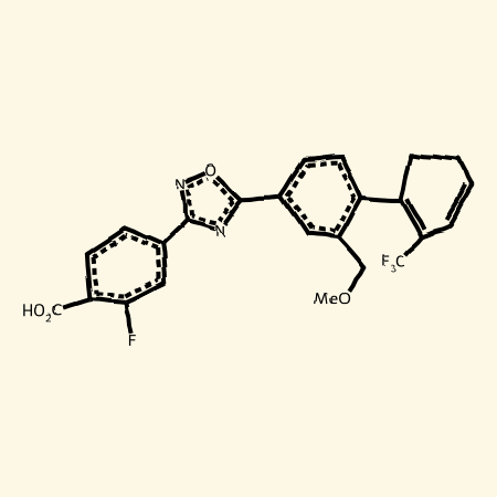 COCc1cc(-c2nc(-c3ccc(C(=O)O)c(F)c3)no2)ccc1C1=C(C(F)(F)F)C=CCC1